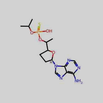 CC(C)OP(O)(=S)OC(C)C1CC[C@H](n2cnc3c(N)ncnc32)O1